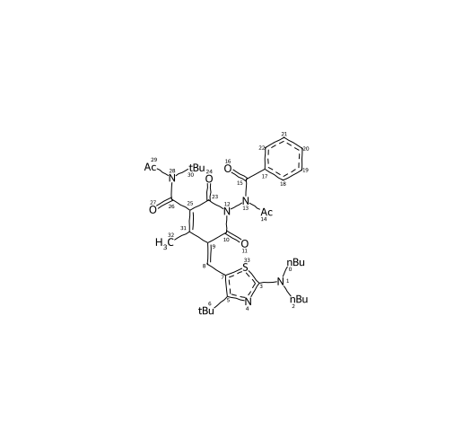 CCCCN(CCCC)c1nc(C(C)(C)C)c(/C=C2\C(=O)N(N(C(C)=O)C(=O)c3ccccc3)C(=O)C(C(=O)N(C(C)=O)C(C)(C)C)=C2C)s1